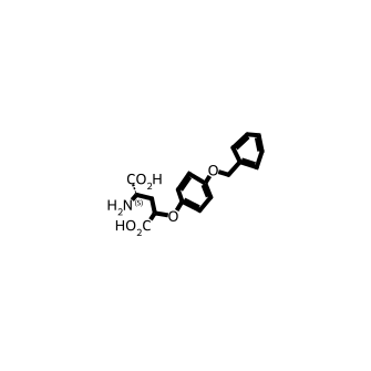 N[C@@H](CC(Oc1ccc(OCc2ccccc2)cc1)C(=O)O)C(=O)O